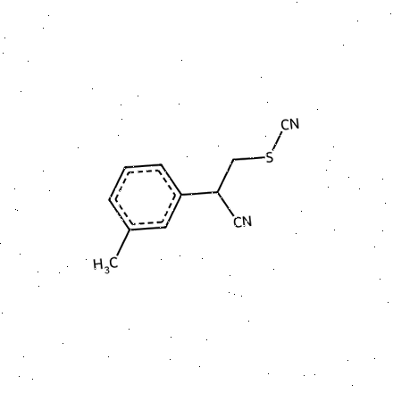 Cc1cccc(C(C#N)CSC#N)c1